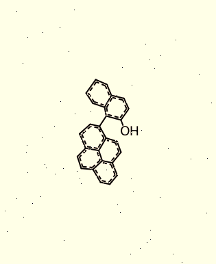 Oc1ccc2ccccc2c1-c1ccc2ccc3cccc4ccc1c2c34